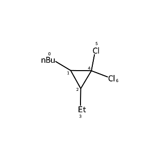 CCCCC1C(CC)C1(Cl)Cl